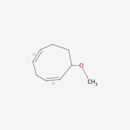 COC1/C=C\C/C=C\CC1